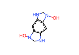 ON1CNc2cc3c(cc21)NCN3O